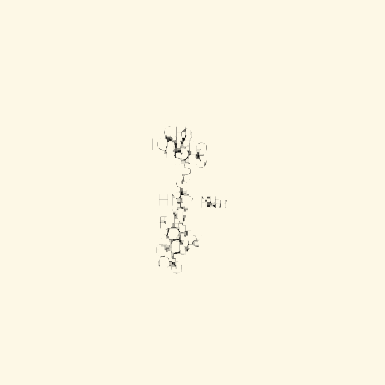 C[C@@H](O)[C@@H]1C(=O)N2C(C(=O)[O-])=C(SCCSC(=S)NC3CCN(c4c(F)cc5c(=O)c(C(=O)[O-])cn(C6CC6)c5c4F)C3)S[C@H]12.[Na+].[Na+]